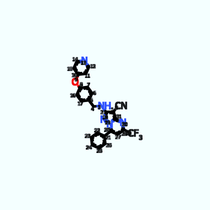 N#Cc1c(NCc2ccc(Oc3ccncc3)cc2)nn2c(-c3ccccc3)cc(C(F)(F)F)nc12